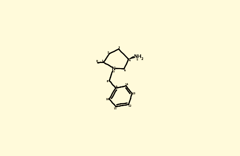 CC1CC[C@@H](N)CN1Cc1ccccc1